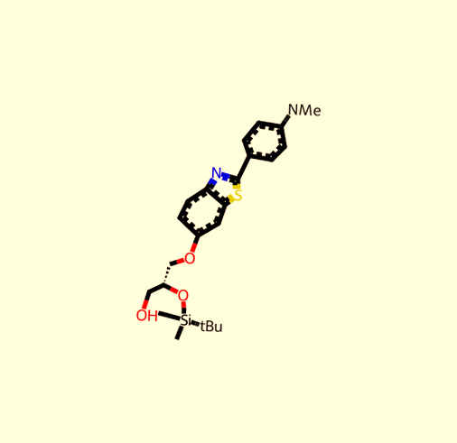 CNc1ccc(-c2nc3ccc(OC[C@@H](CO)O[Si](C)(C)C(C)(C)C)cc3s2)cc1